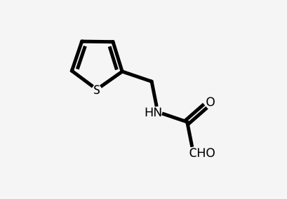 O=CC(=O)NCc1cccs1